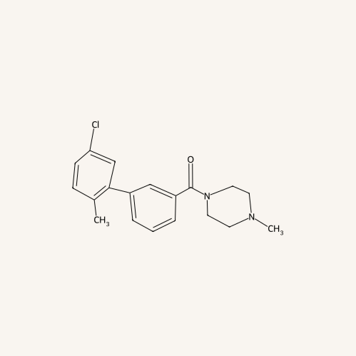 Cc1ccc(Cl)cc1-c1cccc(C(=O)N2CCN(C)CC2)c1